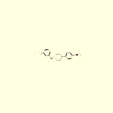 N#Cc1ccc(C2CCN(C(=O)c3cccc(N)c3)CC2)cc1